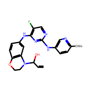 C=CC(O)N1CCOc2ccc(Nc3nc(Nc4ccc(OC)nc4)ncc3F)cc21